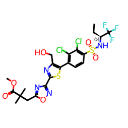 CC[C@H](NS(=O)(=O)c1ccc(-c2sc(-c3noc(CC(C)(C)C(=O)OC)n3)nc2CO)c(Cl)c1Cl)C(F)(F)F